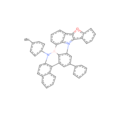 CC(C)(C)c1ccc(N2B3c4c(cc(-c5ccccc5)cc4-n4c5c3cccc5c3oc5ccccc5c34)-c3c2ccc2ccccc32)cc1